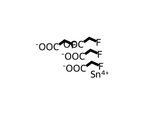 O=C([O-])CF.O=C([O-])CF.O=C([O-])CF.O=C([O-])CF.[Sn+4]